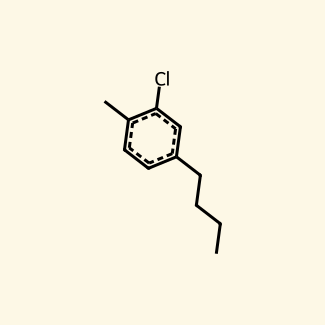 CCCCc1ccc(C)c(Cl)c1